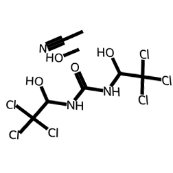 CC#N.CO.O=C(NC(O)C(Cl)(Cl)Cl)NC(O)C(Cl)(Cl)Cl